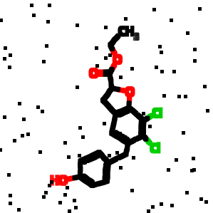 CCOC(=O)C1Cc2cc(Cc3ccc(O)cc3)c(Cl)c(Cl)c2O1